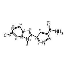 Cn1c(-c2cncc(C(N)=O)c2)cc2cnc(Cl)cc21